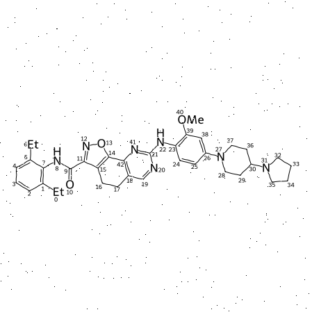 CCc1cccc(CC)c1NC(=O)c1noc2c1CCc1cnc(Nc3ccc(N4CCC(N5CCCC5)CC4)cc3OC)nc1-2